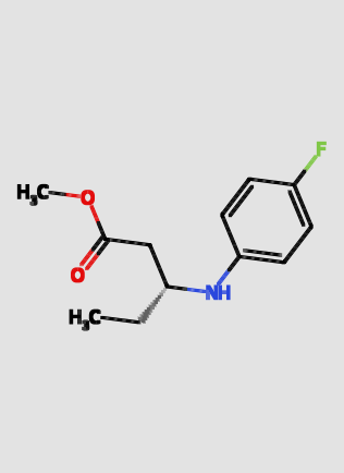 CC[C@H](CC(=O)OC)Nc1ccc(F)cc1